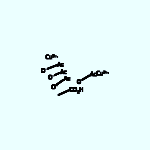 CC(=O)O.CC(=O)[O-].CC(=O)[O-].CC(=O)[O-].CC(=O)[O-].[Cu+2].[Cu+2]